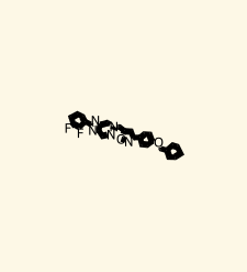 Fc1cccc(-c2nc3cnn(Cc4cc(-c5ccc(OCc6ccccc6)cc5)no4)cc-3n2)c1F